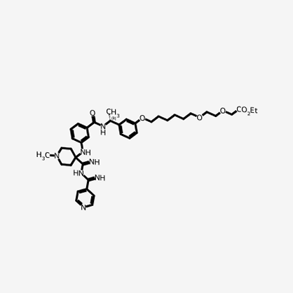 CCOC(=O)COCCOCCCCCCOc1cccc([C@@H](C)NC(=O)c2cccc(NC3(C(=N)NC(=N)c4ccncc4)CCN(C)CC3)c2)c1